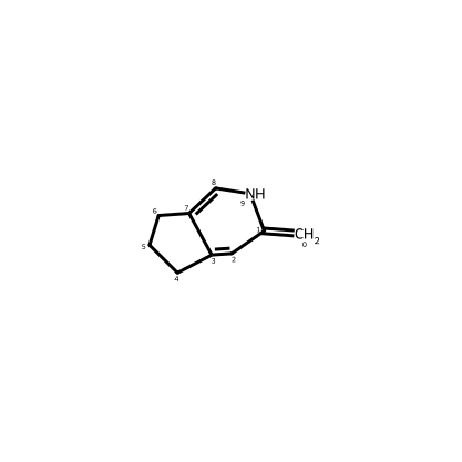 C=C1C=C2CCCC2=CN1